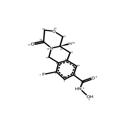 O=C(NO)c1cc(F)c2c(c1)C[C@H]1COCC(=O)N1C2